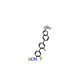 CCCCC1=Cc2cc(-c3ccc(-c4ccc(N=C=S)c(F)c4)c(C)c3)ccc2C1